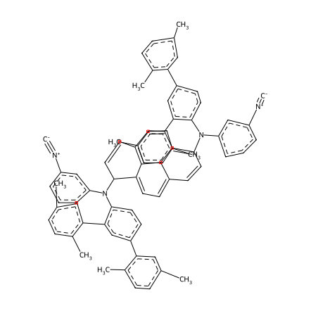 [C-]#[N+]c1cccc(N(C2=C3C=CC4=C5C(=CC=C(C=C2)C35)C(N(c2cccc([N+]#[C-])c2)c2ccc(-c3cc(C)ccc3C)cc2-c2cc(C)ccc2C)C=C4)c2ccc(-c3cc(C)ccc3C)cc2-c2cc(C)ccc2C)c1